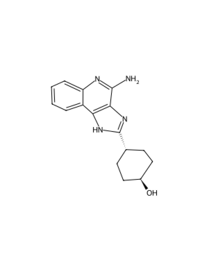 Nc1nc2ccccc2c2[nH]c([C@H]3CC[C@H](O)CC3)nc12